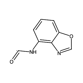 O=[C]Nc1cccc2ocnc12